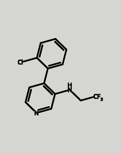 FC(F)(F)CNc1cnccc1-c1ccccc1Cl